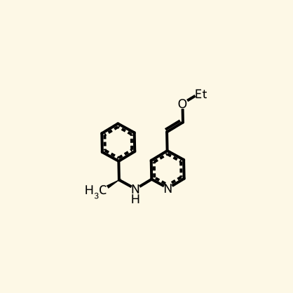 CCOC=Cc1ccnc(N[C@@H](C)c2ccccc2)c1